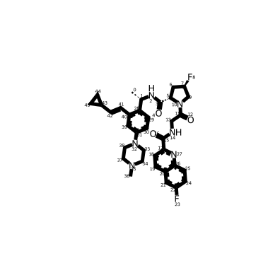 C[C@H](NC(=O)[C@@H]1C[C@@H](F)CN1C(=O)CNC(=O)c1ccc2cc(F)ccc2n1)c1ccc(N2CCN(C)CC2)cc1/C=C/C1CC1